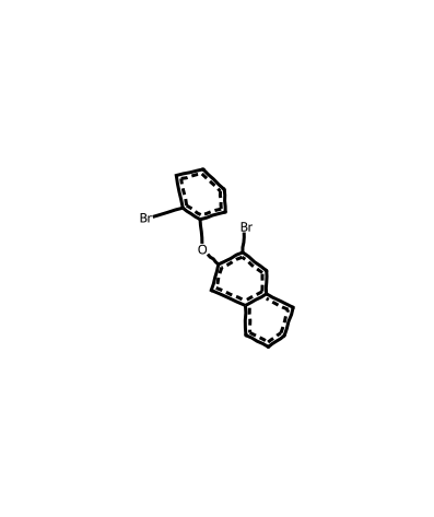 Brc1ccccc1Oc1cc2ccccc2cc1Br